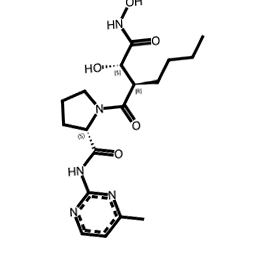 CCCC[C@@H](C(=O)N1CCC[C@H]1C(=O)Nc1nccc(C)n1)[C@H](O)C(=O)NO